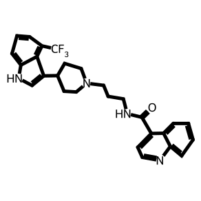 O=C(NCCCN1CCC(c2c[nH]c3cccc(C(F)(F)F)c23)CC1)c1ccnc2ccccc12